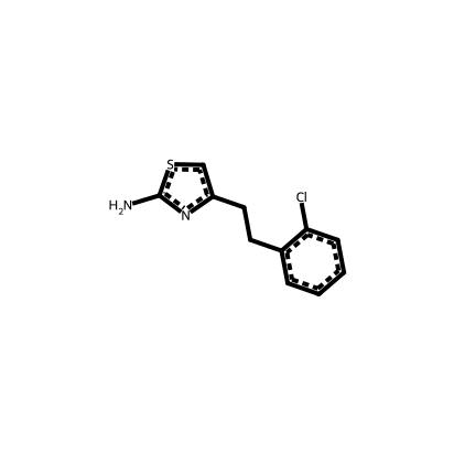 Nc1nc(CCc2ccccc2Cl)cs1